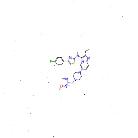 C=N/C(CN1CCN(c2ccc3nc(CC)c(N(C)c4nc(-c5ccc(F)cc5)cs4)n3c2)CC1)=N\OC